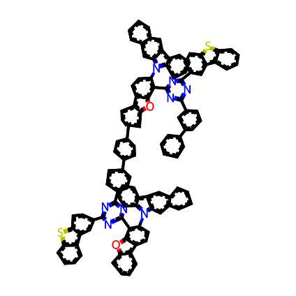 c1ccc(-c2cccc(-c3nc(-c4ccc5sc6ccccc6c5c4)nc(-c4c(-n5c6ccccc6c6cc7ccccc7cc65)ccc5c4oc4cc(-c6ccc(-c7ccc(-c8nc(-c9ccc%10sc%11ccccc%11c%10c9)nc(-c9c(-n%10c%11ccccc%11c%11cc%12ccccc%12cc%11%10)ccc%10c9oc9ccccc9%10)n8)cc7)cc6)ccc45)n3)c2)cc1